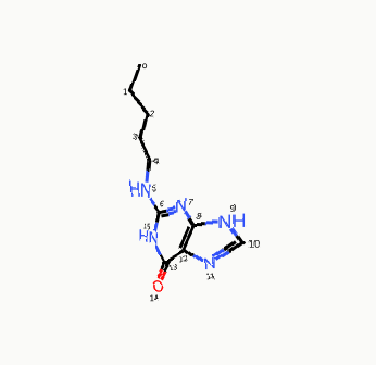 CCCCCNc1nc2[nH]cnc2c(=O)[nH]1